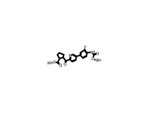 COC(=O)C1CCCC1C(=O)c1ccc(-c2ccc(NC(=O)OC(C)(C)C)c(F)c2)cn1